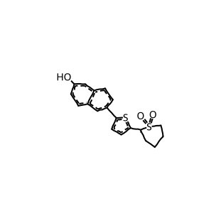 O=S1(=O)CCCC[C]1c1ccc(-c2ccc3cc(O)ccc3c2)s1